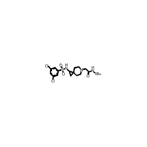 CC(C)(C)NC(=O)CN1CCC2(CC1)CC2NS(=O)(=O)c1cc(Cl)cc(Cl)c1